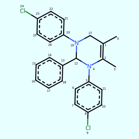 CC1=C(C)N(c2ccc(Cl)cc2)C(c2ccccc2)N(c2ccc(Cl)cc2)C1